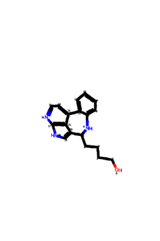 OCCCCC1Nc2ccccc2-c2ccnc3[nH]cc1c23